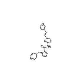 O=C(Nc1nc(/C=C/c2ccoc2)cs1)c1cccn1Cc1ccncc1